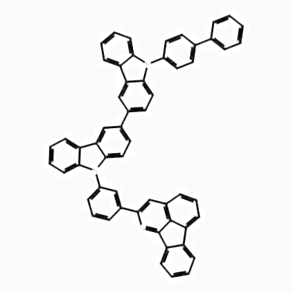 c1ccc(-c2ccc(-n3c4ccccc4c4cc(-c5ccc6c(c5)c5ccccc5n6-c5cccc(-c6cc7cccc8c7c(n6)-c6ccccc6-8)c5)ccc43)cc2)cc1